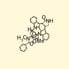 CO[C@@H]1[C@H](N(C)C(=O)c2ccccc2)C[C@H]2O[C@H]1n1c3ccccc3c3c4c(c5c6ccccc6n2c5c31)C(=O)NC4